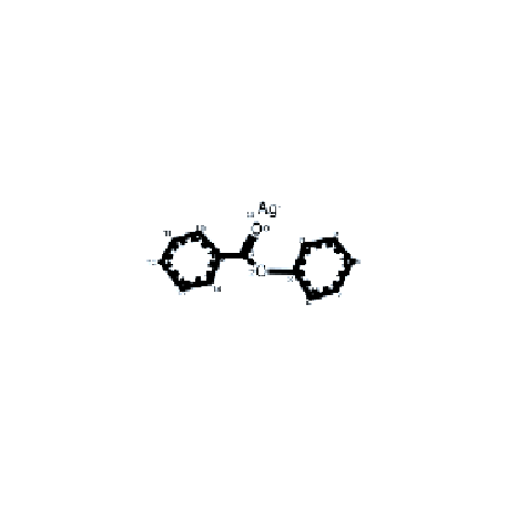 O=C(Oc1ccccc1)c1ccccc1.[Ag]